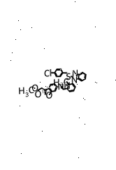 COC(=O)C[C@@H]1COc2cc(NCc3cccc(-n4c(SCc5ccc(Cl)cc5)nc5ccccc54)c3C)ccc21